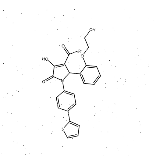 CC(C)C(=O)C1=C(O)C(=O)N(c2ccc(-c3cccs3)cc2)C1c1ccccc1OCCO